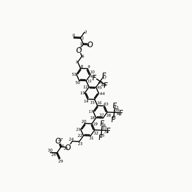 C=C(C)C(=O)OCCc1ccc(-c2ccc(-c3cc(-c4ccc(CCOC(=O)C(=C)C)cc4C(F)(F)F)cc(C(F)(F)F)c3)cc2C(F)(F)F)cc1